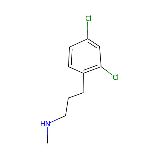 CNCCCc1ccc(Cl)cc1Cl